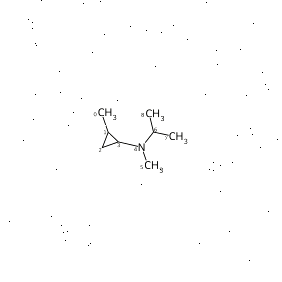 CC1CC1N(C)C(C)C